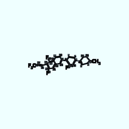 CC1CC=C(c2ccc(-c3ccc4c(F)c(C#CC(F)(F)F)c(F)cc4c3)c(F)c2)CC1